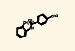 C=C(Nc1ccccc1C)c1ccc(C=O)cc1